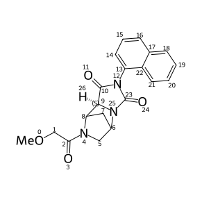 COCC(=O)N1CC2CC1[C@H]1C(=O)N(c3cccc4ccccc34)C(=O)N21